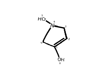 OC1=CCN(O)C1